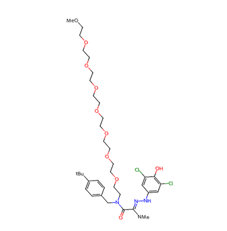 CN/C(=N\Nc1cc(Cl)c(O)c(Cl)c1)C(=O)N(CCOCCOCCOCCOCCOCCOCCOCCOC)Cc1ccc(C(C)(C)C)cc1